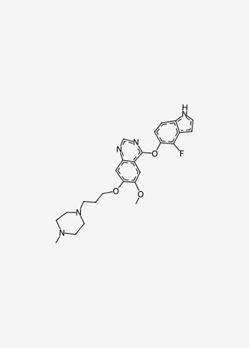 COc1cc2c(Oc3ccc4[nH]ccc4c3F)ncnc2cc1OCCCN1CCN(C)CC1